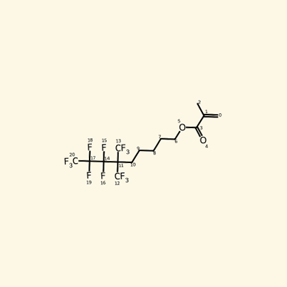 C=C(C)C(=O)OCCCCCC(C(F)(F)F)(C(F)(F)F)C(F)(F)C(F)(F)C(F)(F)F